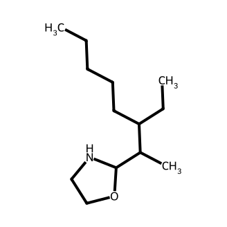 CCCCCC(CC)C(C)C1NCCO1